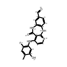 Cc1cc(F)c(Nc2ccnc3c2C(=O)Nc2cc(C=O)ccc2N3)cc1O